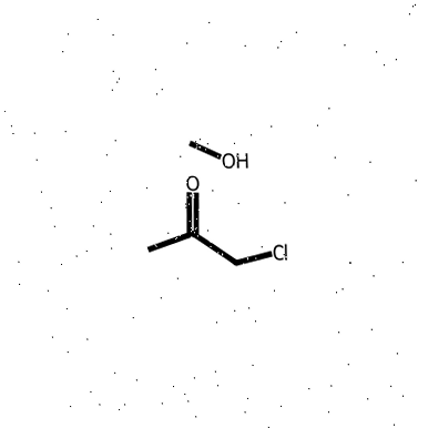 CC(=O)CCl.CO